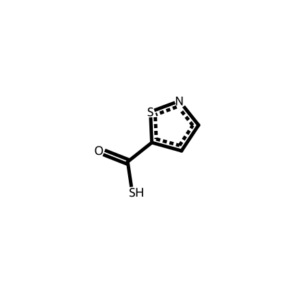 O=C(S)c1ccns1